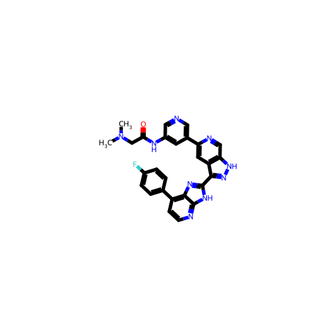 CN(C)CC(=O)Nc1cncc(-c2cc3c(-c4nc5c(-c6ccc(F)cc6)ccnc5[nH]4)n[nH]c3cn2)c1